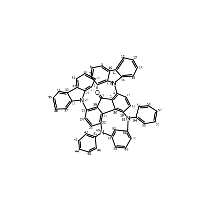 O=C1c2c(-n3c4ccccc4c4ccccc43)ccc3c2-c2c(ccc(-n4c5ccccc5c5ccccc54)c21)N(c1ccccc1)c1cccc(c1)N3c1ccccc1